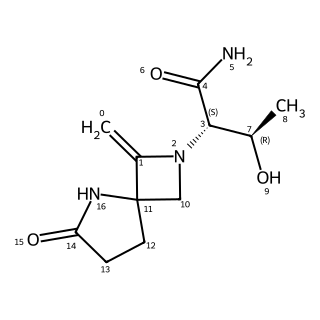 C=C1N([C@H](C(N)=O)[C@@H](C)O)CC12CCC(=O)N2